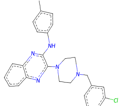 Cc1ccc(Nc2nc3ccccc3nc2N2CCN(Cc3cccc(Cl)c3)CC2)cc1